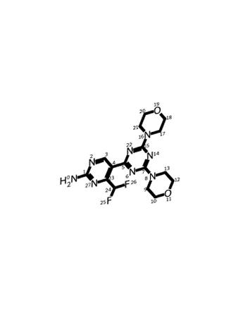 Nc1ncc(-c2nc(N3CCOCC3)nc(N3CCOCC3)n2)c(C(F)F)n1